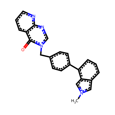 Cn1cc2cccc(-c3ccc(Cn4cnc5ncccc5c4=O)cc3)c2c1